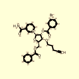 C#CCCCO[C@H]1[C@@H](OC(=O)c2ccccc2)[C@H]([n+]2cccc(C(N)=O)c2)O[C@@H]1COC(=O)c1ccccc1.[Br-]